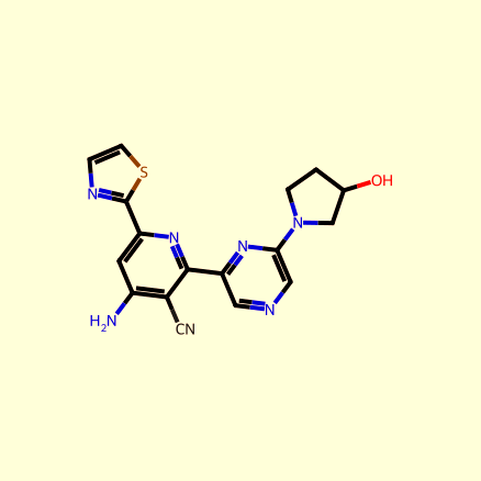 N#Cc1c(N)cc(-c2nccs2)nc1-c1cncc(N2CCC(O)C2)n1